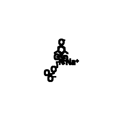 COc1cc(C)c(S(=O)(=O)N(C)CCOCC(=O)[O-])c(C)c1.[Na+]